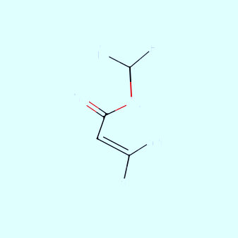 CCCC(=CC(=O)OC(CC)C(C)C)CCC